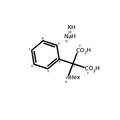 CCCCCCC(C(=O)O)(C(=O)O)c1ccccc1.[KH].[NaH]